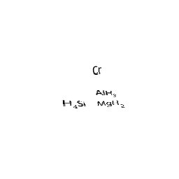 [AlH3].[Cr].[MgH2].[SiH4]